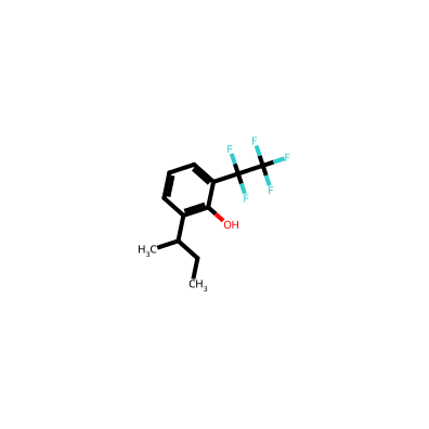 CCC(C)c1cccc(C(F)(F)C(F)(F)F)c1O